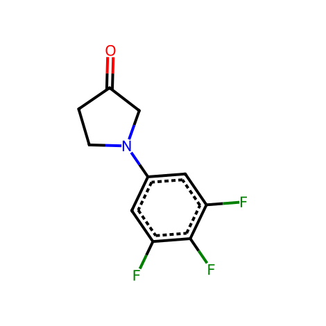 O=C1CCN(c2cc(F)c(F)c(F)c2)C1